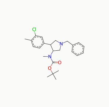 Cc1ccc(C2CN(Cc3ccccc3)CC2N(C)C(=O)OC(C)(C)C)cc1Cl